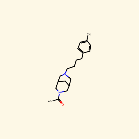 CCCC(=O)N1CC2CC(CN(CCCCc3ccc(C#N)cc3)C2)C1